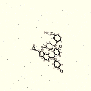 O=C(O)c1cccc(CN2CCC(Cn3c(C4CC4)nc4ccc(C(c5ccc(Cl)cc5)c5ccc(Cl)cc5)cc43)CC2)c1